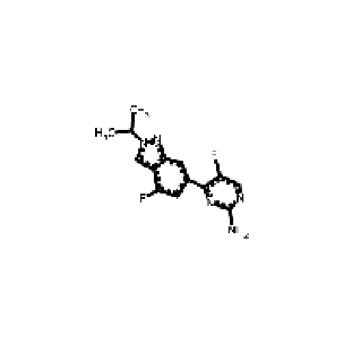 CC(C)n1cc2c(F)cc(-c3nc(N)ncc3F)cc2n1